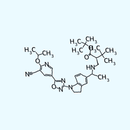 CC(C)Oc1ncc(-c2nc(N3CCc4cc(C(C)NC[C@@H](C(=O)OC(C)(C)C)C(C)(C)C)ccc43)no2)cc1C#N